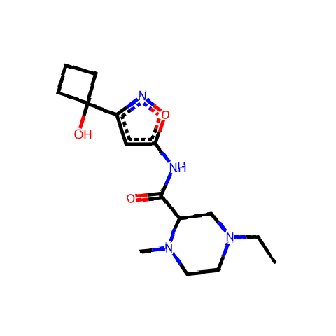 CCN1CCN(C)C(C(=O)Nc2cc(C3(O)CCC3)no2)C1